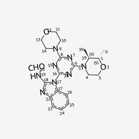 C[C@@H]1OCCN(c2nc(N3CCOCC3)nc(-n3c(NC=O)nc4ccccc43)n2)[C@H]1C